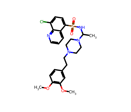 COc1ccc(CCN2CCN(C(C)NS(=O)(=O)c3ccc(Cl)c4ncccc34)CC2)cc1OC